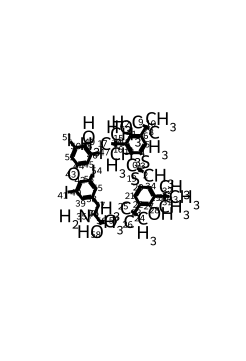 CC(C)(Sc1cc(C(C)(C)C)c(O)c(C(C)(C)C)c1)Sc1cc(C(C)(C)C)c(O)c(C(C)(C)C)c1.N[C@H](Cc1cc(I)c(Oc2cc(I)c(O)c(I)c2)c(I)c1)C(=O)O